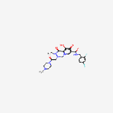 CN1CCN(C(=O)CN2Cn3cc(C(=O)NCc4ccc(F)cc4F)c(=O)c(O)c3C(=O)N2C)CC1